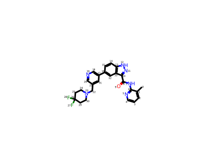 Cc1cccnc1NC(=O)c1n[nH]c2ccc(-c3cncc(CN4CCC(F)(F)CC4)c3)cc12